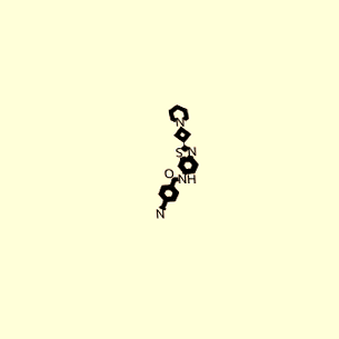 N#Cc1ccc(C(=O)Nc2ccc3nc([C@H]4C[C@@H](N5CCCCC5)C4)sc3c2)cc1